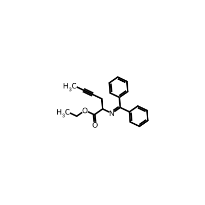 CC#CCC(N=C(c1ccccc1)c1ccccc1)C(=O)OCC